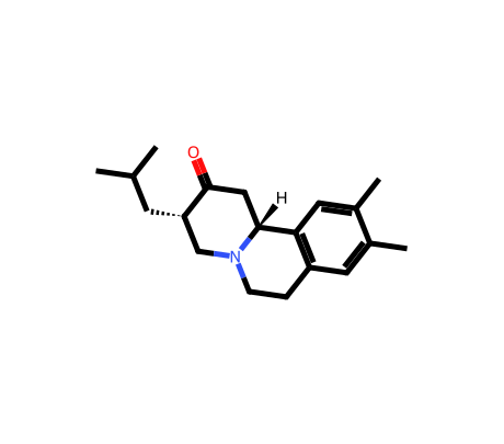 Cc1cc2c(cc1C)[C@H]1CC(=O)[C@@H](CC(C)C)CN1CC2